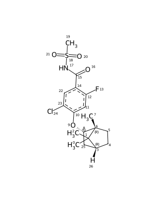 CC1(C)[C@@H]2CC[C@@]1(C)[C@@H](Oc1cc(F)c(C(=O)NS(C)(=O)=O)cc1Cl)C2